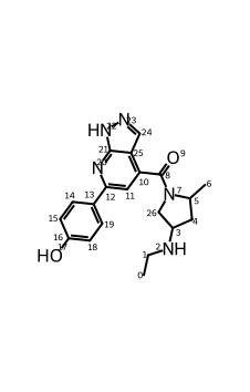 CCNC1CC(C)N(C(=O)c2cc(-c3ccc(O)cc3)nc3[nH]ncc23)C1